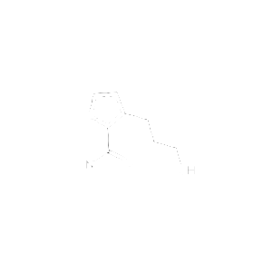 CCCCc1ccsc1C(N)=O